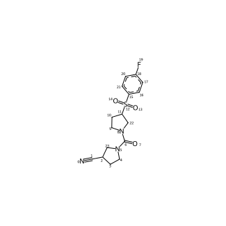 N#CC1CCN(C(=O)N2CCC(S(=O)(=O)c3ccc(F)cc3)C2)C1